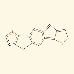 C1=C2C=c3cc4c(cc3=C2SC1)Cc1ccsc1-4